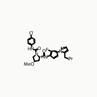 CO[C@@H]1C[C@H](C(=O)Nc2ccc(-n3nccc3CC(C)C)cc2F)N(C(=O)Nc2ccc(Cl)cc2)C1